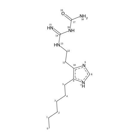 CCCCCCc1[nH]cnc1CCNC(=N)NC(N)=O